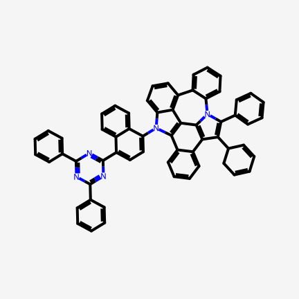 C1=CCC(c2c(-c3ccccc3)n3c4ccccc4c4cccc5c4c4c(c6ccccc6c2c43)n5-c2ccc(-c3nc(-c4ccccc4)nc(-c4ccccc4)n3)c3ccccc23)C=C1